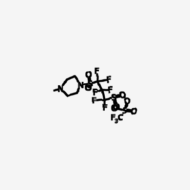 CN1CCN(S(=O)(=O)C(F)(F)C(F)(F)C(F)(F)S(=O)(=O)OS(=O)(=O)C(F)(F)F)CC1